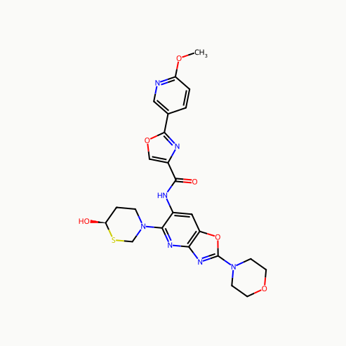 COc1ccc(-c2nc(C(=O)Nc3cc4oc(N5CCOCC5)nc4nc3N3CC[C@H](O)SC3)co2)cn1